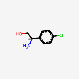 N[C@@H](CO)c1ccc(Cl)cc1